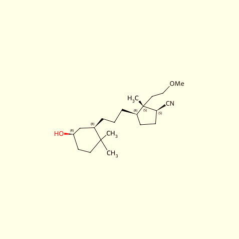 COCC[C@@]1(C)[C@H](CCC[C@@H]2C[C@H](O)CCC2(C)C)CC[C@@H]1C#N